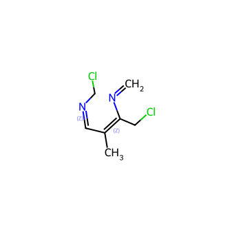 C=N/C(CCl)=C(C)\C=N/CCl